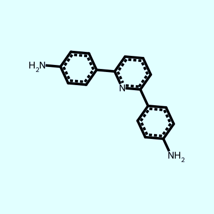 Nc1ccc(-c2cccc(-c3ccc(N)cc3)n2)cc1